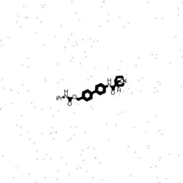 CC(C)NC(=O)OCc1ccc(-c2ccc(NC(=O)[C@H]3CN4CCC3CC4)cc2)cc1